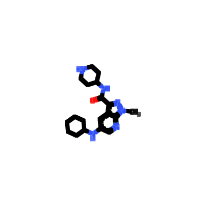 Cn1nc(C(=O)NC2CCNCC2)c2cc(NC3CCCCC3)cnc21